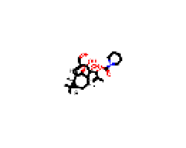 CC1=C[C@]23C(=O)[C@@H](C=C(CO)[C@@H](O)[C@]2(O)[C@H]1OC(=O)N1CCCCC1)[C@H]1[C@@H](C[C@H]3C)C1(C)C